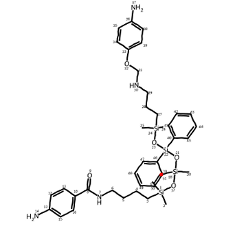 C[Si](C)(CCCCNC(=O)c1ccc(N)cc1)O[Si](C)(C)O[Si](O[Si](C)(C)CCCNCOc1ccc(N)cc1)(c1ccccc1)c1ccccc1